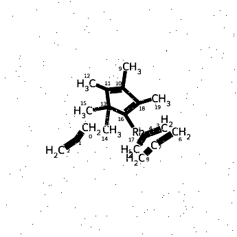 C=C=C.C=C=C.C=C=C.CC1=C(C)C(C)(C)[C]([Rh])=C1C